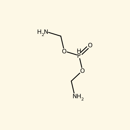 NCO[PH](=O)OCN